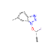 C#CC(I)On1nnc2ccc(C)cc21